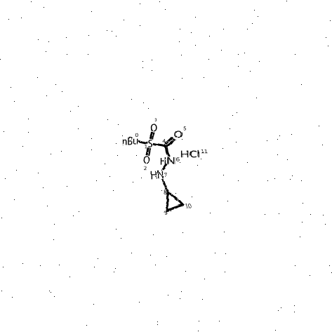 CCCCS(=O)(=O)C(=O)NNC1CC1.Cl